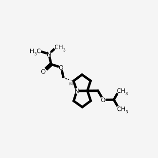 CC(C)OCC12CCCN1[C@H](COC(=O)N(C)C)CC2